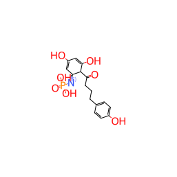 O=C(CCCc1ccc(O)cc1)C1C(O)=CC(O)=C/C1=N\P(=O)(O)O